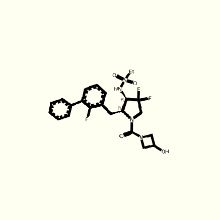 CCS(=O)(=O)N[C@@H]1[C@H](Cc2cccc(-c3ccccc3)c2F)N(C(=O)N2CC(O)C2)CC1(F)F